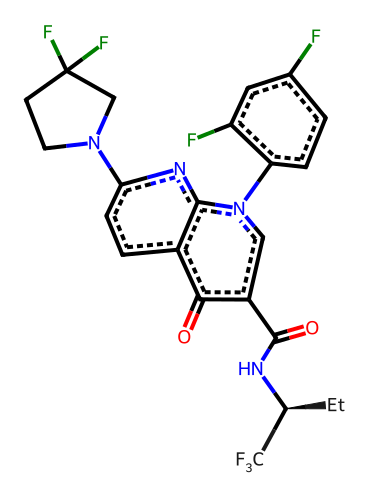 CC[C@H](NC(=O)c1cn(-c2ccc(F)cc2F)c2nc(N3CCC(F)(F)C3)ccc2c1=O)C(F)(F)F